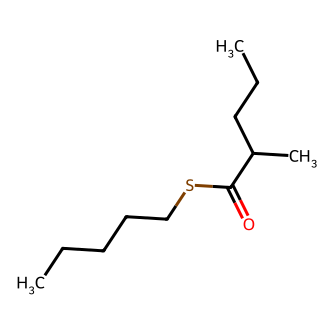 CCCCCSC(=O)C(C)CCC